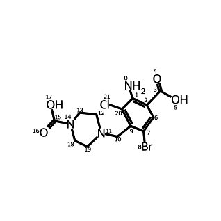 Nc1c(C(=O)O)cc(Br)c(CN2CCN(C(=O)O)CC2)c1Cl